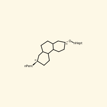 CCCCCCCO[C@@H]1CCC2C(CCC3C[C@H](CCCCC)CCC32)C1